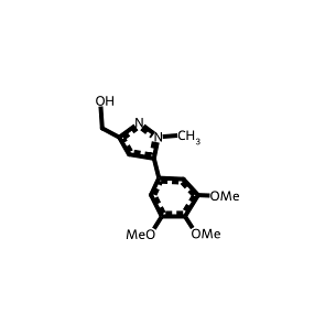 COc1cc(-c2cc(CO)nn2C)cc(OC)c1OC